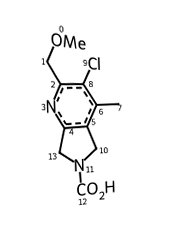 COCc1nc2c(c(C)c1Cl)CN(C(=O)O)C2